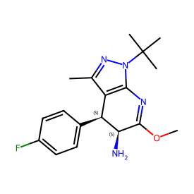 COC1=Nc2c(c(C)nn2C(C)(C)C)[C@H](c2ccc(F)cc2)[C@@H]1N